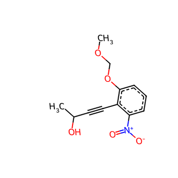 COCOc1cccc([N+](=O)[O-])c1C#CC(C)O